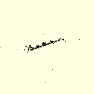 CCCCCCCCCOC(=O)CCCCCCCC(CCCCCCCC(=O)OCCCCC(CCCC)CCCC)N=C=S